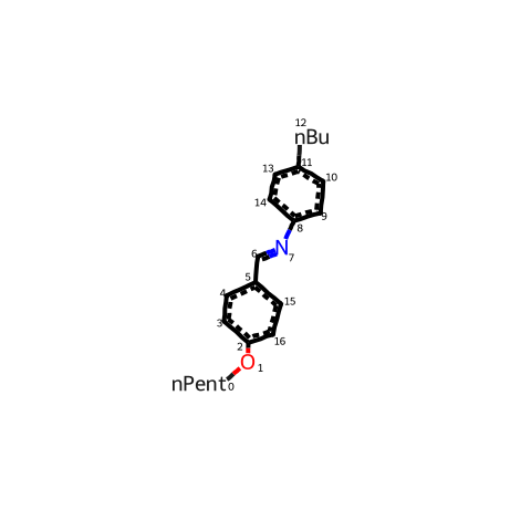 CCCCCOc1ccc(C=Nc2ccc(CCCC)cc2)cc1